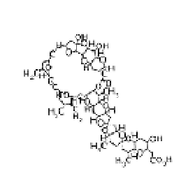 C=C1CC2CC[C@@H]3C[C@]4(O)O[C@@H]5C(O[C@H]6CC[C@H](CC(=O)OC7[C@H](C[C@H]8O[C@@H](CC[C@@H]1O2)C[C@@H](C)C8=C)O[C@H]1C[C@H]2O[C@@]8(C[C@@H]9O[C@]%10(C[C@H](C)[C@@H]%11O[C@H](CC(=O)O)[C@H](O)C[C@@H]%11O%10)C[C@H](C)[C@@H]9O8)C[C@H]2O[C@H]1[C@@H]7C)O[C@@H]6C5O)C4O3